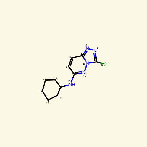 Clc1nnc2ccc(NC3CCCCC3)nn12